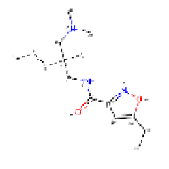 CCCC(C)(CNC(=O)c1cc(CC)on1)CN(C)C